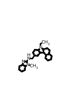 CCn1c2ccc(CNc3nc4ccccc4n3C)cc2c2c3ccccc3ccc21